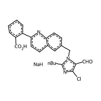 CCCCc1nc(Cl)c(C=O)n1Cc1ccc2nc(-c3ccccc3C(=O)O)ccc2c1.[NaH]